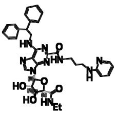 CCNC(=O)[C@H]1O[C@@H](n2cnc3c(NCC(c4ccccc4)c4ccccc4)nc(C(=O)NCCCNc4ccccn4)nc32)[C@@H](O)[C@@H]1O